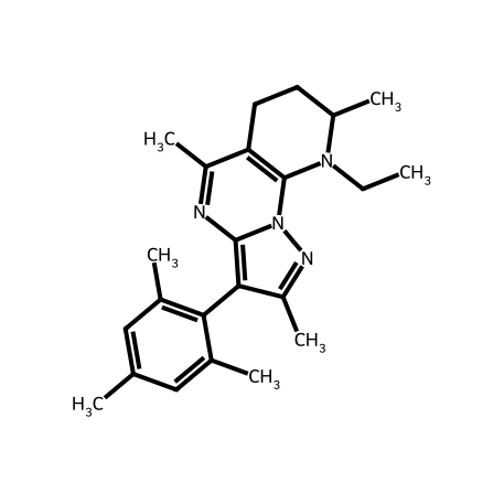 CCN1c2c(c(C)nc3c(-c4c(C)cc(C)cc4C)c(C)nn23)CCC1C